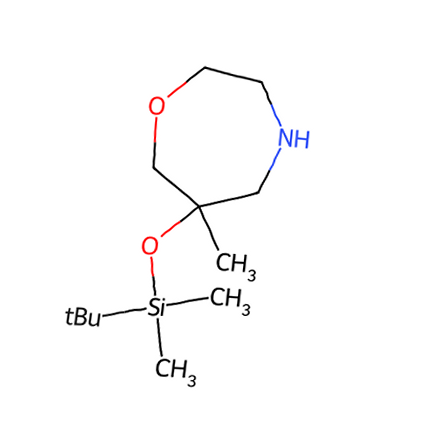 CC1(O[Si](C)(C)C(C)(C)C)CNCCOC1